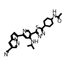 CC(=O)NC1CCC(c2nnc(-c3cnc(-c4ccc5cc(C#N)cnn45)cc3NC(C)C)s2)CC1